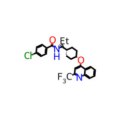 CC[C@H](NC(=O)c1ccc(Cl)cc1)[C@H]1CC[C@@H](Oc2cc(C(F)(F)F)nc3ccccc23)CC1